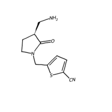 N#Cc1ccc(CN2CC[C@@H](CN)C2=O)s1